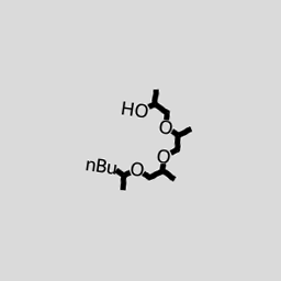 CCCCC(C)OCC(C)OCC(C)OCC(C)O